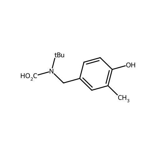 Cc1cc(CN(C(=O)O)C(C)(C)C)ccc1O